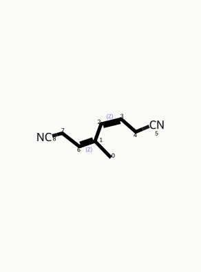 CC(/C=C\CC#N)=C/CC#N